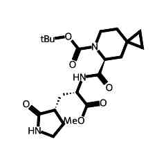 COC(=O)[C@H](C[C@@H]1CCNC1=O)NC(=O)[C@@H]1CC2(CCN1C(=O)OC(C)(C)C)CC2